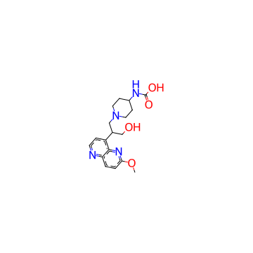 COc1ccc2nccc(C(CO)CN3CCC(NC(=O)O)CC3)c2n1